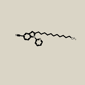 CCCCCCCCCCCCc1cc2cc(C#N)ccc2n1-c1ccccn1